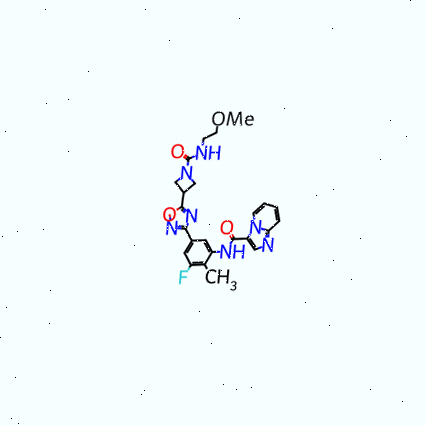 COCCNC(=O)N1CC(c2nc(-c3cc(F)c(C)c(NC(=O)c4cnc5ccccn45)c3)no2)C1